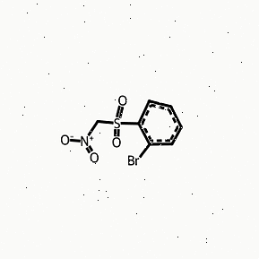 O=[N+]([O-])CS(=O)(=O)c1ccccc1Br